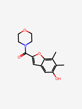 Cc1c(O)cc2cc(C(=O)N3CCOCC3)oc2c1C